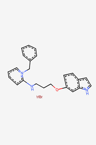 Br.c1ccc(C[n+]2ccccc2NCCCOc2ccc3cc[nH]c3c2)cc1